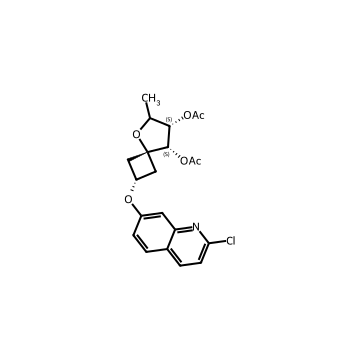 CC(=O)O[C@H]1C(C)O[C@]2(C[C@@H](Oc3ccc4ccc(Cl)nc4c3)C2)[C@H]1OC(C)=O